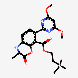 COc1cc(OC)nc(-c2ccc3c(c2C(=O)OCC[Si](C)(C)C)OC(=O)C(C)N3)n1